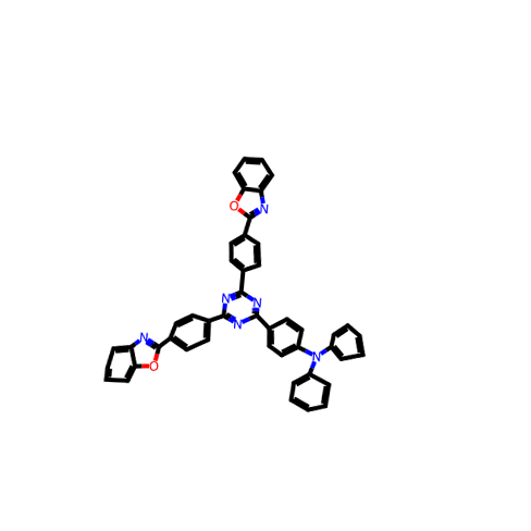 c1ccc(N(c2ccccc2)c2ccc(-c3nc(-c4ccc(-c5nc6ccccc6o5)cc4)nc(-c4ccc(-c5nc6ccccc6o5)cc4)n3)cc2)cc1